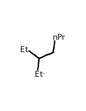 [CH2]CCCC([CH]C)CC